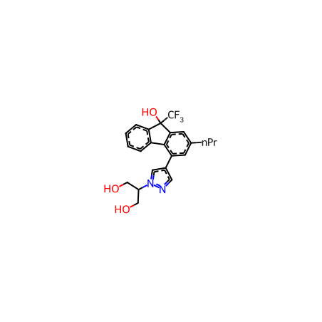 CCCc1cc(-c2cnn(C(CO)CO)c2)c2c(c1)C(O)(C(F)(F)F)c1ccccc1-2